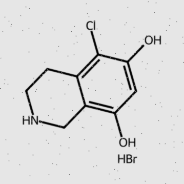 Br.Oc1cc(O)c2c(c1Cl)CCNC2